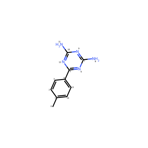 Cc1ccc(-c2nc(N)nc(N)n2)cc1